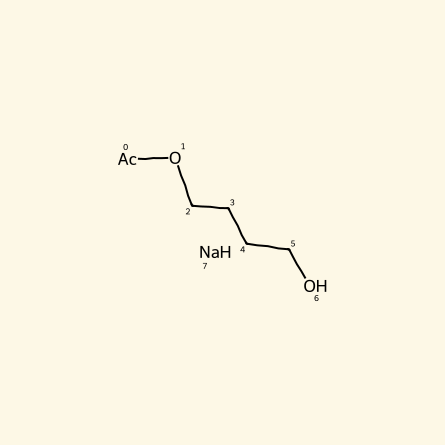 CC(=O)OCCCCO.[NaH]